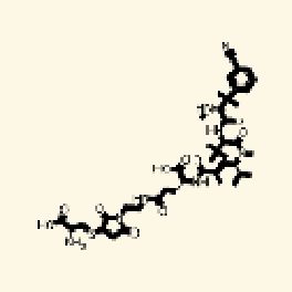 CN[C@H](C(=O)NC(C(=O)N(C)[C@H](/C=C(\C)C(=O)N[C@H](CCC(=O)NCCN1C(=O)CC(SC[C@H](N)C(=O)O)C1=O)C(=O)O)C(C)C)C(C)(C)C)C(C)(C)c1cccc(C#N)c1